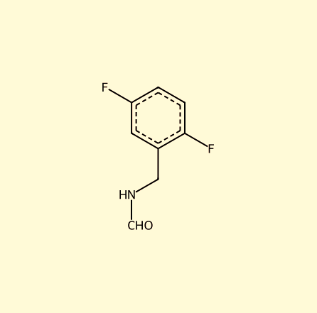 O=CNCc1cc(F)ccc1F